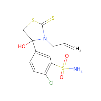 C=CCN1C(=S)SCC1(O)c1ccc(Cl)c(S(N)(=O)=O)c1